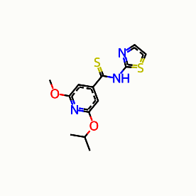 COc1cc(C(=S)Nc2nccs2)cc(OC(C)C)n1